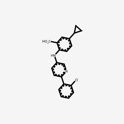 O=C(O)c1cc(C2CC2)ccc1Nc1ccc(-c2ccccc2Cl)nc1